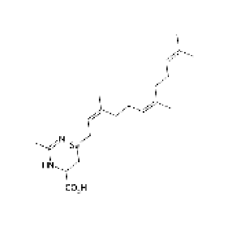 CC(=N)NC(C[Se]CC=C(C)CCC=C(C)CCC=C(C)C)C(=O)O